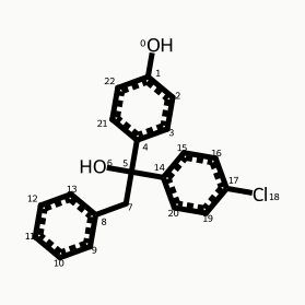 Oc1ccc(C(O)(Cc2ccccc2)c2ccc(Cl)cc2)cc1